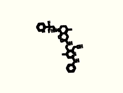 CC1=C(CC(=O)NCc2c(C)cc(Nc3ccccc3)nc2CO)C(=O)N(NCC(F)(F)c2ccccn2)CC1